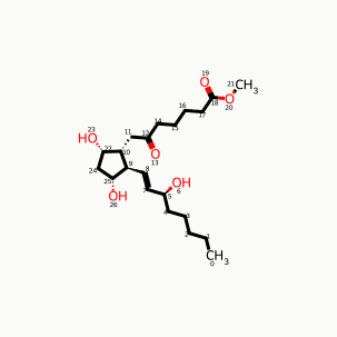 CCCCC[C@H](O)/C=C/[C@@H]1[C@@H](CC(=O)CCCCC(=O)OC)[C@@H](O)C[C@H]1O